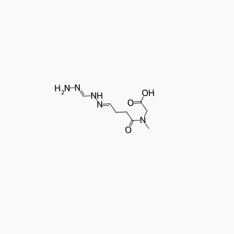 CN(CC(=O)O)C(=O)CCC=NNC=NN